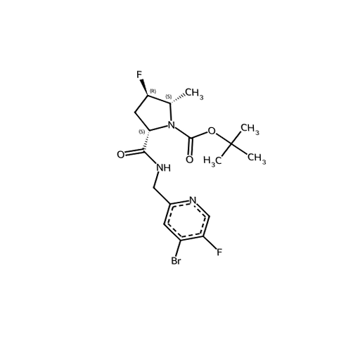 C[C@H]1[C@H](F)C[C@@H](C(=O)NCc2cc(Br)c(F)cn2)N1C(=O)OC(C)(C)C